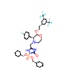 O=c1nc(CN2CCO[C@@H](OCCc3cc(C(F)(F)F)cc(C(F)(F)F)c3)[C@@H]2c2ccc(F)cc2)[nH]n1P(=O)(OCc1ccccc1)OCc1ccccc1